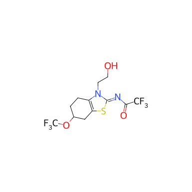 O=C(/N=c1\sc2c(n1CCO)CCC(OC(F)(F)F)C2)C(F)(F)F